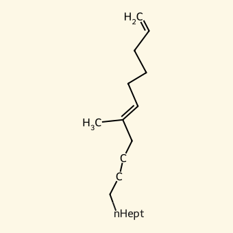 C=CCCC/C=C(\C)CCCCCCCCCCC